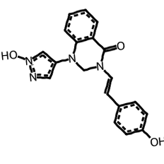 O=C1c2ccccc2N(c2cnn(O)c2)CN1C=Cc1ccc(O)cc1